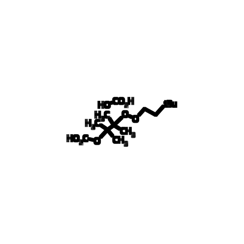 CC(C)(C)CCOOC(C)(C)C(C)(C)OC(=O)O.O=C(O)O